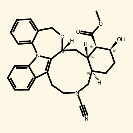 COC(=O)[C@@H]1[C@H]2C[C@H]3OCc4ccccc4-n4c3c(c3ccccc34)CCN(C#N)C[C@@H]2CC[C@@H]1O